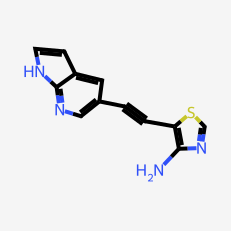 Nc1ncsc1C#Cc1cnc2[nH]ccc2c1